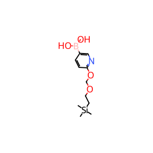 C[Si](C)(C)CCOCOc1ccc(B(O)O)cn1